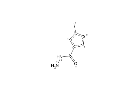 Cc1cc(C(=O)NN)cs1